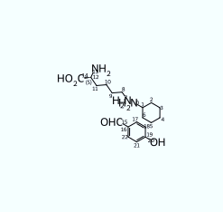 NC1CCCCC1.NCCCC[C@H](N)C(=O)O.O=Cc1ccc(O)cc1